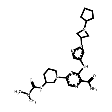 CN(C)C(=O)NC1CCCN(c2cnc(C(N)=O)c(Nc3cnn(C4CN(C5CCCC5)C4)c3)n2)C1